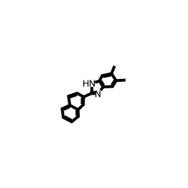 Cc1cc2nc(-c3ccc4ccccc4c3)[nH]c2cc1C